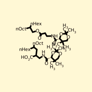 CCCCCCCCC(CCCCCC)CC(CNC(=O)[C@@H]1OC(C)(C)OCC1(C)C)C(=O)O.CCCCCCCCC(CCCCCC)COC(=O)CCNC(=O)[C@@H]1OC(C)(C)OCC1(C)C